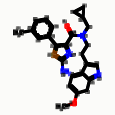 COC1=CC=C2C(CCN(CC3CC3)C(=O)c3nc(N)sc3-c3cccc(C)c3)=CN=C2C1